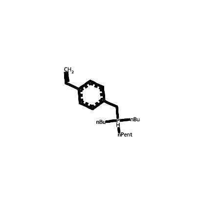 C=Cc1ccc(C[PH](CCCC)(CCCC)CCCCC)cc1